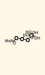 CNC(=O)c1cccc(-c2ccc(-c3cccc([C@H]4O[C@H](CO)[C@@H](O)[C@H](O)[C@@H]4O)c3)c(C)c2)c1